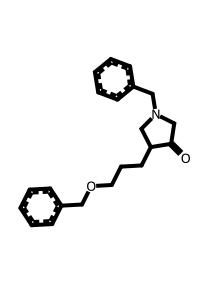 O=C1CN(Cc2ccccc2)CC1CCCOCc1ccccc1